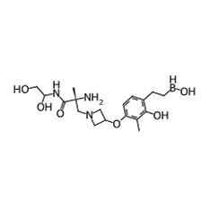 Cc1c(OC2CN(C[C@@](C)(N)C(=O)NC(O)CO)C2)ccc(CCBO)c1O